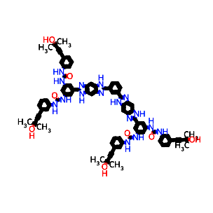 CC(C)(O)C#Cc1cccc(NC(=O)Nc2cc(NC(=O)Nc3cccc(C#CC(C)(C)O)c3)cc(-c3nc4cc5[nH]c(-c6cccc(-c7nc8cc9[nH]c(-c%10cc(NC(=O)Nc%11cccc(C#CC(C)(C)O)c%11)cc(NC(=O)Nc%11cccc(C#CC(C)(C)O)c%11)c%10)nc9cc8[nH]7)c6)nc5cc4[nH]3)c2)c1